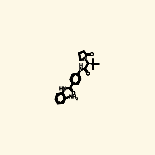 CC(C)(C)[C@@H](C(=O)Nc1ccc(C(=O)Nc2ccccc2N)cc1)N1CCCC1=O